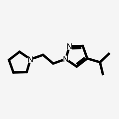 CC(C)c1cnn(CCN2CCCC2)c1